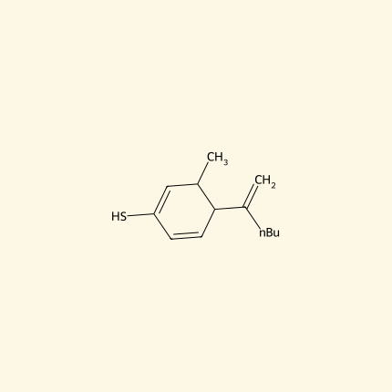 C=C(CCCC)C1C=CC(S)=CC1C